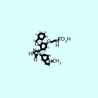 Cn1ccc2cc(-n3c(-c4ccc(OCCNC(=O)O)cc4OCc4ccccc4)n[nH]c3=O)ccc21